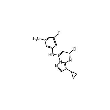 Fc1cc(Nc2cc(Cl)nc3c(C4CC4)cnn23)cc(C(F)(F)F)c1